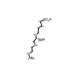 CCCCOCCOCCOCCCCS(=O)(=O)O.[NaH]